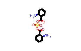 Nc1ccccc1C(=O)OS(=O)(=O)OC(=O)c1ccccc1N